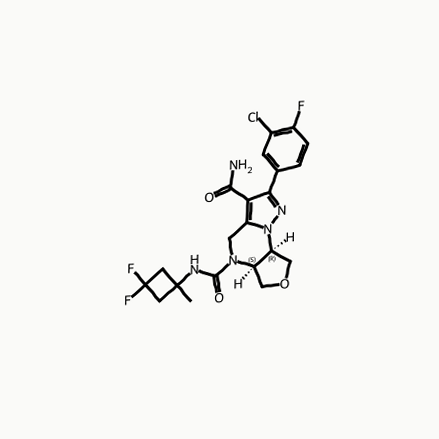 CC1(NC(=O)N2Cc3c(C(N)=O)c(-c4ccc(F)c(Cl)c4)nn3[C@H]3COC[C@H]32)CC(F)(F)C1